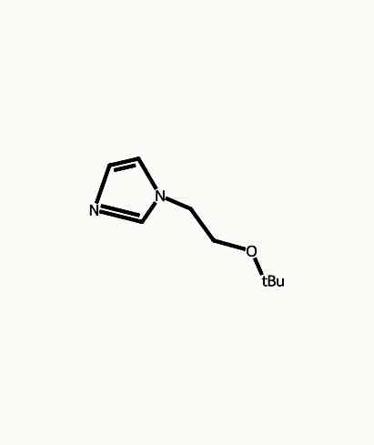 CC(C)(C)OCCn1ccnc1